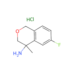 CC1(N)COCc2ccc(F)cc21.Cl